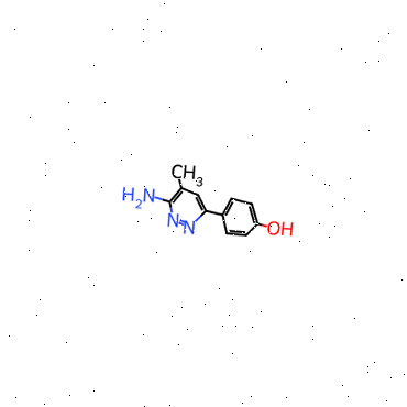 Cc1cc(-c2ccc(O)cc2)nnc1N